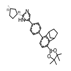 C[C@H]1CC[C@@H](c2ncc(-c3ccc(-c4ccc(B5OC(C)(C)C(C)(C)O5)c5c4C4CCC5C4)cc3)[nH]2)C1